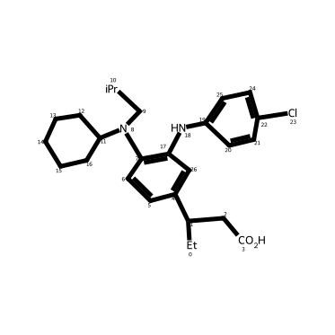 CCC(CC(=O)O)c1ccc(N(CC(C)C)C2CCCCC2)c(Nc2ccc(Cl)cc2)c1